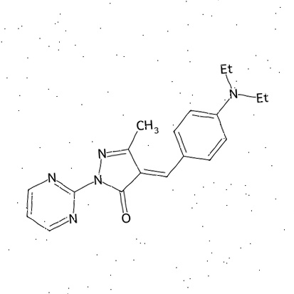 CCN(CC)c1ccc(C=C2C(=O)N(c3ncccn3)N=C2C)cc1